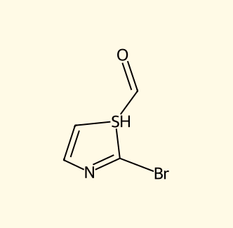 O=C[SH]1C=CN=C1Br